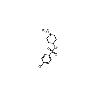 O=C(O)N1CCC(NS(=O)(=O)c2ccc(Cl)cc2)CC1